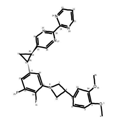 COc1ccc(C2CN(c3cc([C@@H]4C[C@H]4c4cnc(-c5ncccn5)nc4)cc(F)c3F)C2)cc1OC